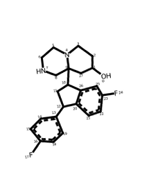 OC1CCN2CCNCC2(C2CC(c3ccc(F)cc3)c3ccc(F)cc32)C1